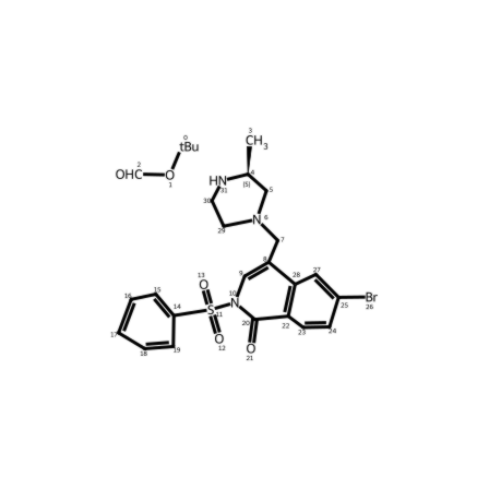 CC(C)(C)OC=O.C[C@H]1CN(Cc2cn(S(=O)(=O)c3ccccc3)c(=O)c3ccc(Br)cc23)CCN1